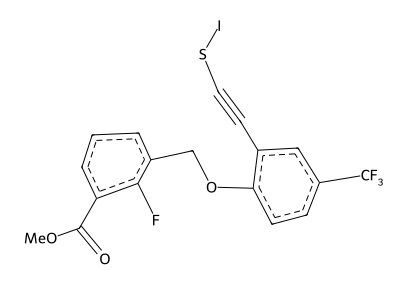 COC(=O)c1cccc(COc2ccc(C(F)(F)F)cc2C#CSI)c1F